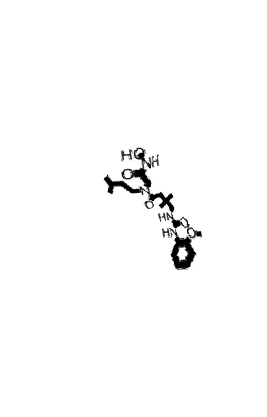 COc1ccccc1NC(=O)NCC(C)(C)CC(=O)N(CCC(C)C)CC(=O)NO